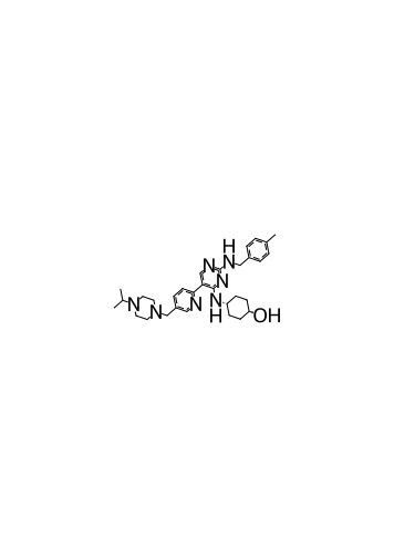 Cc1ccc(CNc2ncc(-c3ccc(CN4CCN(C(C)C)CC4)cn3)c(N[C@H]3CC[C@H](O)CC3)n2)cc1